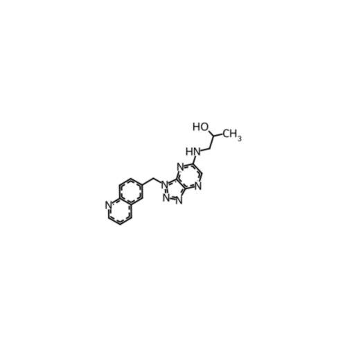 CC(O)CNc1cnc2nnn(Cc3ccc4ncccc4c3)c2n1